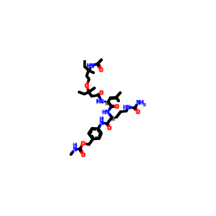 CCC(C)(CCOC(C)(CC)CC(=O)N[C@H](C=C(C)C)C(=O)N[C@H](CCCNC(N)=O)C(=O)Nc1ccc(COC(=O)NC)cc1)NC(C)=O